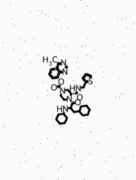 Cc1ncnc2c(OC(=O)N3CCN(C(=O)C(CC4CCCCC4)NC4CCCCC4)[C@H](C(=O)NCc4cccs4)C3)cccc12